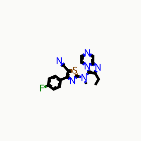 CCc1nc2cnccn2c1N(C)c1nc(-c2ccc(F)cc2)c(C#N)s1